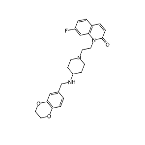 O=c1ccc2ccc(F)cc2n1CCN1CCC(NCc2ccc3c(c2)OCCO3)CC1